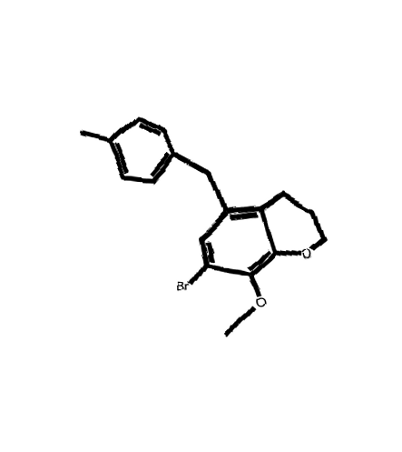 COc1c(Br)cc(Cc2ccc(C)cc2)c2c1OCCC2